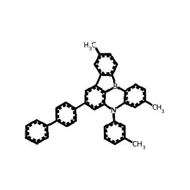 Cc1cccc(N2c3cc(C)ccc3B3c4ccc(C)cc4-c4cc(-c5ccc(-c6ccccc6)cc5)cc2c43)c1